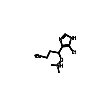 CCc1[nH]cnc1C(CCC(C)(C)C)O[SiH](C)C